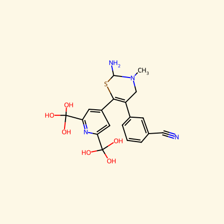 CN1CC(c2cccc(C#N)c2)=C(c2cc(C(O)(O)O)nc(C(O)(O)O)c2)SC1N